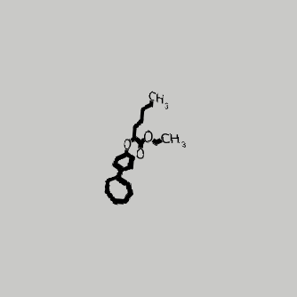 CCCCCC(Oc1ccc(C2=CCCCCC2)cc1)C(=O)OCC